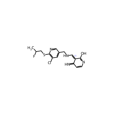 CC(F)CSc1ncc(CN/C=C2\C(=N)C=CN=C2O)cc1Cl